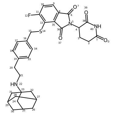 O=C1CCC(N2C(=O)c3ccc(F)c(SCc4ccc(CCNC56CC7CC(CC(C7)C5)C6)cc4)c3C2=O)C(=O)N1